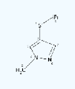 CC(C)Sc1[c]n(C)nc1